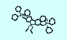 C=CCC1(CC=C)c2cc(=C[PH](c3ccccc3)(c3ccccc3)c3ccccc3)ccc2=c2ccc(=C[PH](c3ccccc3)(c3ccccc3)c3ccccc3)cc21